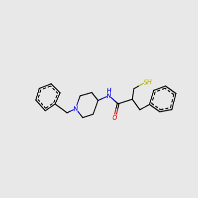 O=C(NC1CCN(Cc2ccccc2)CC1)C(CS)Cc1ccccc1